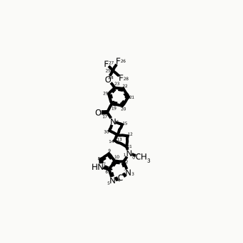 CN(c1ncnc2[nH]ccc12)C1CC2(C1)CN(C(=O)c1cccc(OC(F)(F)F)c1)C2